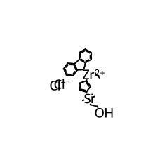 C[CH]=[Zr+2]([C]1=CC([Si](C)(C)CCO)=CC1)[CH]1c2ccccc2-c2ccccc21.[Cl-].[Cl-]